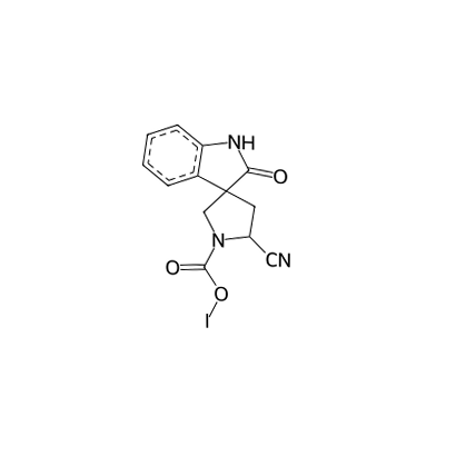 N#CC1CC2(CN1C(=O)OI)C(=O)Nc1ccccc12